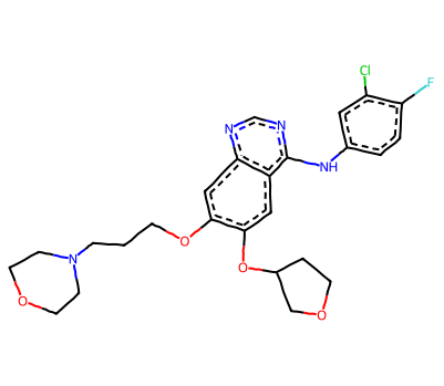 Fc1ccc(Nc2ncnc3cc(OCCCN4CCOCC4)c(OC4CCOC4)cc23)cc1Cl